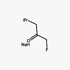 CC(C)CC(=O)CF.[NaH]